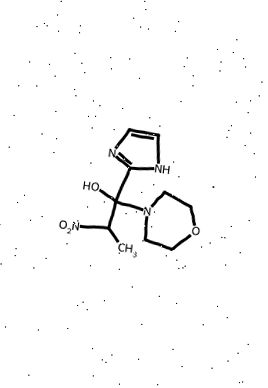 CC([N+](=O)[O-])C(O)(c1ncc[nH]1)N1CCOCC1